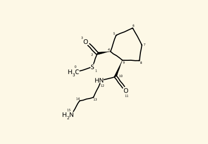 CSC(=O)[C@H]1CCCC[C@H]1C(=O)NCCN